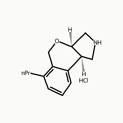 CCCc1cccc2c1CO[C@H]1CNC[C@@H]21.Cl